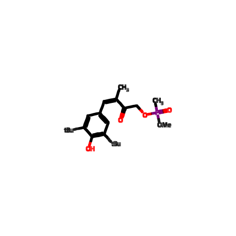 COP(C)(=O)OCC(=O)C(C)=Cc1cc(C(C)(C)C)c(O)c(C(C)(C)C)c1